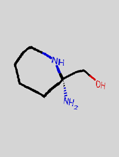 N[C@]1(CO)CCCCN1